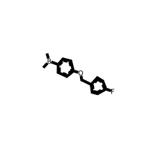 CB(C)c1ccc(OCc2ccc(F)cc2)cc1